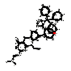 CCCc1nc(N=CN(C)C)[nH]c(=O)c1Cc1ccc(-c2ccccc2-c2nnnn2C(c2ccccc2)(c2ccccc2)c2ccccc2)cc1